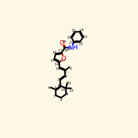 CC(C=CC1=C(C)CCCC1(C)C)=Cc1ccc(C(=O)Nc2ccccc2)o1